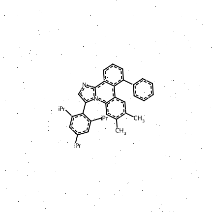 Cc1cc2c3c(-c4ccccc4)cccc3c3ncc(-c4c(C(C)C)cc(C(C)C)cc4C(C)C)n3c2cc1C